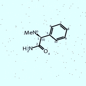 CN[C@H](C(N)=O)c1ccccc1